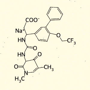 CC1=CN(C)C(=O)C(NC(=O)NC(CC(=O)[O-])c2ccc(OCC(F)(F)F)c(-c3ccccc3)c2)C1=O.[Na+]